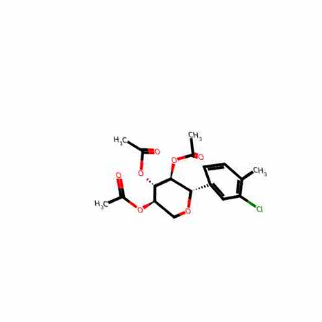 CC(=O)O[C@@H]1[C@@H](OC(C)=O)[C@H](c2ccc(C)c(Cl)c2)OC[C@H]1OC(C)=O